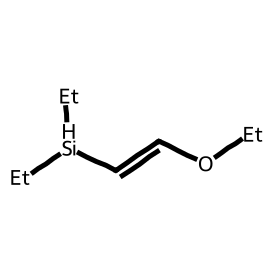 CCOC=C[SiH](CC)CC